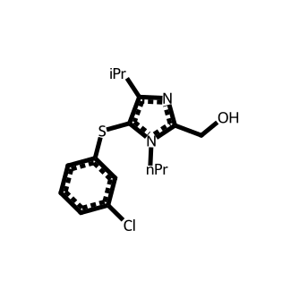 CCCn1c(CO)nc(C(C)C)c1Sc1cccc(Cl)c1